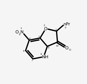 CCCC1OC2=C([N+](=O)[O-])C=CNC2C1=O